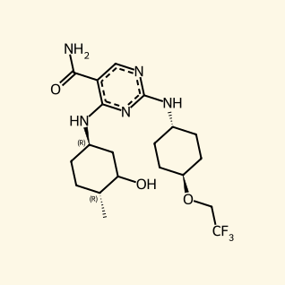 C[C@@H]1CC[C@@H](Nc2nc(N[C@H]3CC[C@H](OCC(F)(F)F)CC3)ncc2C(N)=O)CC1O